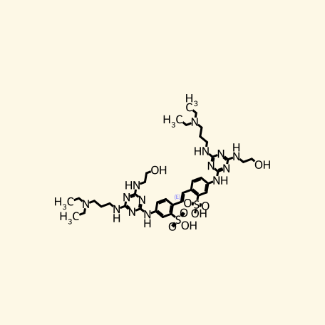 CCN(CC)CCCNc1nc(NCCO)nc(Nc2ccc(/C=C/c3ccc(Nc4nc(NCCO)nc(NCCCN(CC)CC)n4)cc3S(=O)(=O)O)c(S(=O)(=O)O)c2)n1